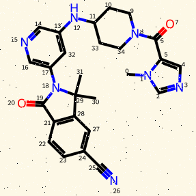 Cn1cncc1C(=O)N1CCC(Nc2cncc(N3C(=O)c4ccc(C#N)cc4C3(C)C)c2)CC1